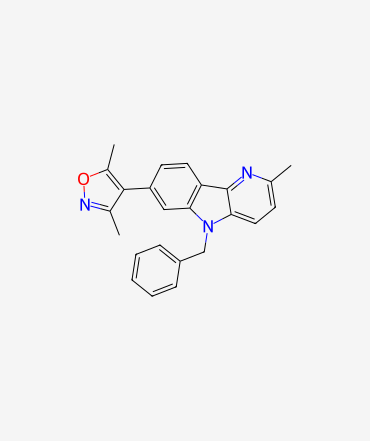 Cc1ccc2c(n1)c1ccc(-c3c(C)noc3C)cc1n2Cc1ccccc1